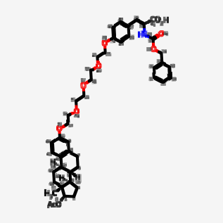 CC(=O)O[C@@H]1CC[C@@H]2[C@H]3CCc4cc(OCCOCCOCCOCCOc5ccc(C[C@H](NC(=O)OCc6ccccc6)C(=O)O)cc5)ccc4[C@@H]3CC[C@]21C